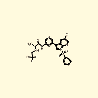 C[C@H](NCC(F)(F)F)C(=O)Nc1cncc(-c2cn(S(=O)(=O)c3ccccc3)c3ncc(Cl)cc23)n1